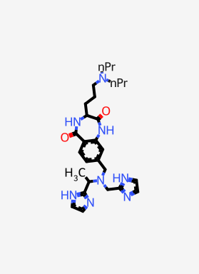 CCCN(CCC)CCCC1NC(=O)c2ccc(CN(Cc3ncc[nH]3)C(C)c3ncc[nH]3)cc2NC1=O